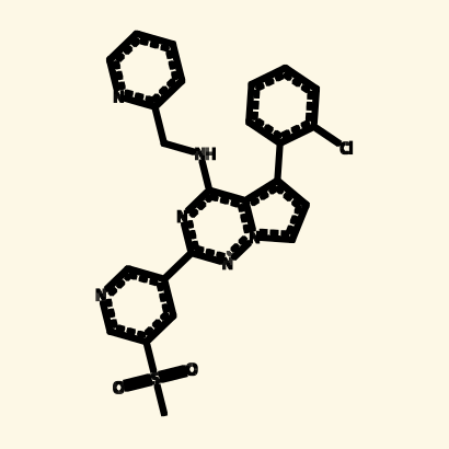 CS(=O)(=O)c1cncc(-c2nc(NCc3ccccn3)c3c(-c4ccccc4Cl)ccn3n2)c1